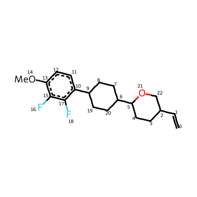 C=CC1CCC(C2CCC(c3ccc(OC)c(F)c3F)CC2)OC1